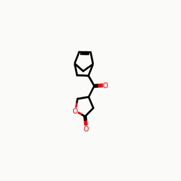 O=C1CC(C(=O)C2CC3C=CC2C3)CO1